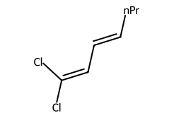 CCCC=CC=C(Cl)Cl